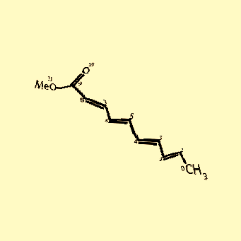 CC=CC=CC=CC=CC(=O)OC